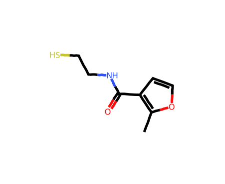 Cc1occc1C(=O)NCCS